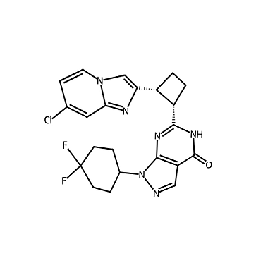 O=c1[nH]c([C@H]2CC[C@H]2c2cn3ccc(Cl)cc3n2)nc2c1cnn2C1CCC(F)(F)CC1